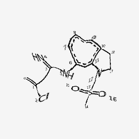 C=C(Cl)C(=N)Nc1cccc2c1N(S(C)(=O)=O)CC2